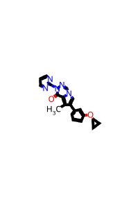 Cc1c(-c2cccc(OC3CC3)c2)cn2cnn(-c3ncccn3)c(=O)c12